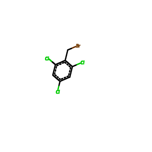 Clc1cc(Cl)c(CBr)c(Cl)c1